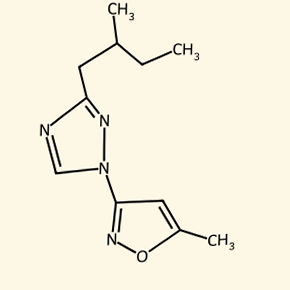 CCC(C)Cc1ncn(-c2cc(C)on2)n1